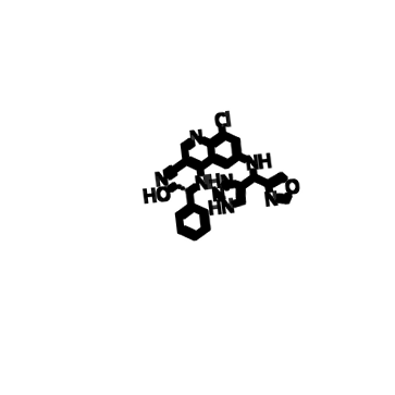 N#Cc1cnc2c(Cl)cc(NC(c3cocn3)c3c[nH]nn3)cc2c1N[C@@H](CO)c1ccccc1